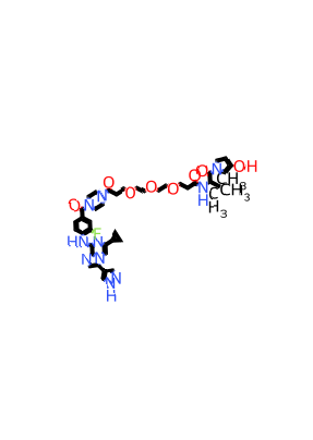 CC(C)(C)[C@H](NC(=O)CCOCCOCCOCCC(=O)N1CCN(C(=O)c2ccc(Nc3nc(C4CC4)cn4c(-c5cn[nH]c5)cnc34)c(F)c2)CC1)C(=O)N1CC[C@@H](O)C1